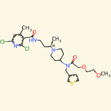 COCCOCC(=O)N(Cc1ccsc1)C1CCN([C@H](C)CCNC(=O)c2c(C)cc(Cl)nc2Cl)CC1